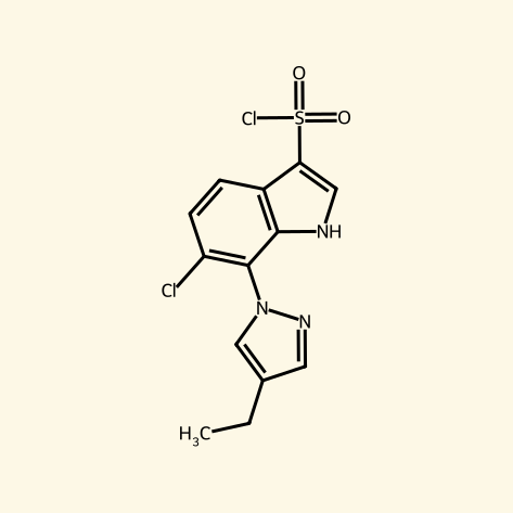 CCc1cnn(-c2c(Cl)ccc3c(S(=O)(=O)Cl)c[nH]c23)c1